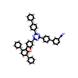 N#Cc1cccc(-c2ccc(-c3nc(-c4ccc(-c5ccccc5)cc4)nc(-c4ccc5c(c4)oc4c(-c6ccccc6)ccc(-c6ccccc6)c45)n3)cc2)c1